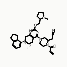 C=CC(=O)N1CCN(c2nc(OCC3CCCN3C)nc3c2C[C@H](C)[C@@H](c2cccc4c2CCC4)C3)CC1CC#N